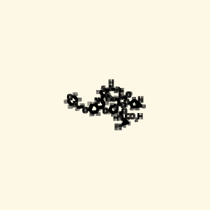 CC[C@@H]1C[C@]1(NC(=O)[C@@H]1C[C@@H](Oc2cc(C3CSC(NC(C)C)=N3)nc3cc(OCCN4CCOCC4)ccc23)CN1C(=O)C(NC(=O)OC1CC2C[C@H]2C1)C(C)(C)C)C(=O)O